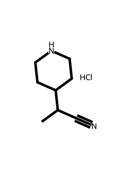 CC(C#N)C1CCNCC1.Cl